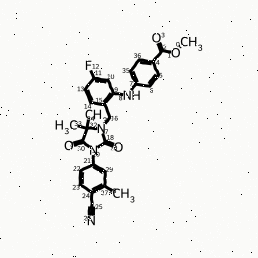 COC(=O)c1ccc(Nc2cc(F)ccc2CN2C(=O)N(c3ccc(C#N)c(C)c3)C(=O)C2(C)C)cc1